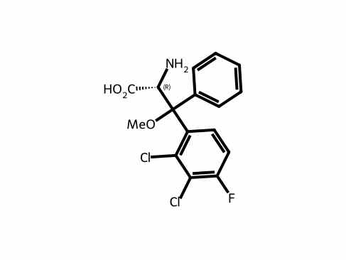 COC(c1ccccc1)(c1ccc(F)c(Cl)c1Cl)[C@@H](N)C(=O)O